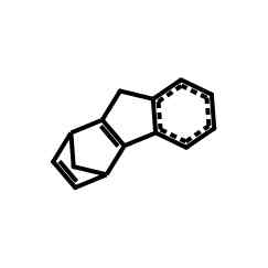 C1=CC2CC1C1=C2c2ccccc2C1